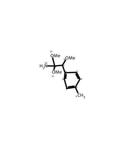 COC(c1ccc(C)cc1)C(N)(OC)OC